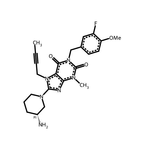 CC#CCn1c(N2CCC[C@@H](N)C2)nc2c1c(=O)n(Cc1ccc(OC)c(F)c1)c(=O)n2C